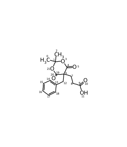 CC1(C)OC(=O)C(CCC(=O)O)(Cc2ccccc2)C(=O)O1